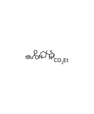 CCOC(=O)c1csc(C2(C)CCN(OC(=O)C(C)(C)C)CC2)n1